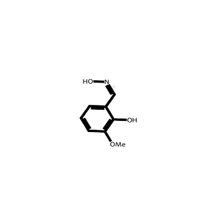 COc1cccc(/C=N\O)c1O